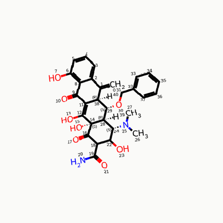 C=C1c2cccc(O)c2C(=O)C2=C(O)[C@]3(O)C(=O)C(C(N)=O)C(O)[C@@H](N(C)C)[C@@H]3[C@@H](OCc3ccccc3)[C@H]12